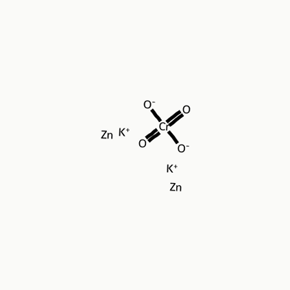 [K+].[K+].[O]=[Cr](=[O])([O-])[O-].[Zn].[Zn]